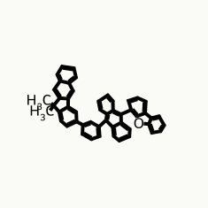 CC1(C)c2ccc(-c3cccc(-c4c5ccccc5c(-c5cccc6c5oc5ccccc56)c5ccccc45)c3)cc2-c2cc3ccccc3cc21